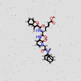 COC(=O)/C=C/CC[C@H](NC(=O)c1oc2ccccc2c1C)C(=O)Nc1cccn(CC(=O)N(C)C2C3CC4CC(C3)CC2C4)c1=O